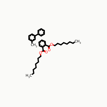 CCCCCCCCOC(=O)c1ccccc1C(=O)OCCCCCCCC.Cc1cccc(-c2ccccc2)c1